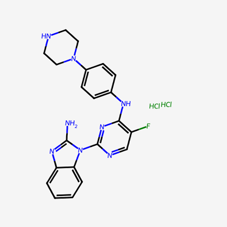 Cl.Cl.Nc1nc2ccccc2n1-c1ncc(F)c(Nc2ccc(N3CCNCC3)cc2)n1